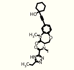 CCc1nnc(C(=O)N(I)[C@H]2COc3ccc(C#CC4(O)CCCCC4)cc3N(C)C2=O)[nH]1